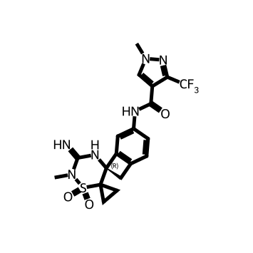 CN1C(=N)N[C@@]2(Cc3ccc(NC(=O)c4cn(C)nc4C(F)(F)F)cc32)C2(CC2)S1(=O)=O